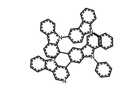 c1ccc(-n2c3ccccc3c3cc(-n4c5ccccc5c5cccc(-c6cc7c8ccccc8n(-c8ccccc8)c7cc6-c6cncc7c6oc6ccccc67)c54)ccc32)cc1